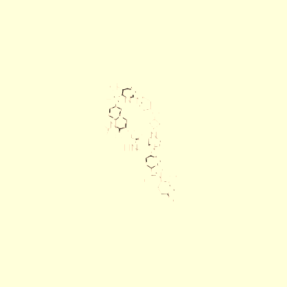 CNC(=O)COc1cc2cc(Nc3nc(N4CCC(O[C@H]5C[C@H](N6CCN(c7ccc8c(n7)CN(C7CCC(=O)NC7O)C8=O)[C@H](C)C6)C5)CC4)ncc3Cl)ccc2n(C(C)C)c1=O